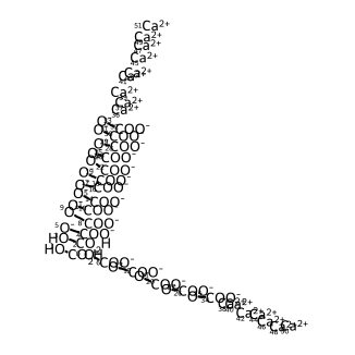 O=C(O)O.O=C(O)O.O=C([O-])[O-].O=C([O-])[O-].O=C([O-])[O-].O=C([O-])[O-].O=C([O-])[O-].O=C([O-])[O-].O=C([O-])[O-].O=C([O-])[O-].O=C([O-])[O-].O=C([O-])[O-].O=C([O-])[O-].O=C([O-])[O-].O=C([O-])[O-].O=C([O-])[O-].O=C([O-])[O-].O=C([O-])[O-].[Ca+2].[Ca+2].[Ca+2].[Ca+2].[Ca+2].[Ca+2].[Ca+2].[Ca+2].[Ca+2].[Ca+2].[Ca+2].[Ca+2].[Ca+2].[Ca+2].[Ca+2].[Ca+2]